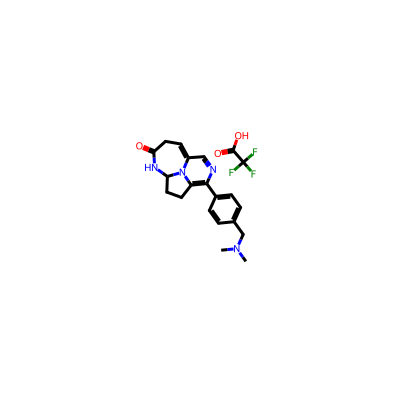 CN(C)Cc1ccc(C2=C3CCC4NC(=O)CC=C(C=N2)N34)cc1.O=C(O)C(F)(F)F